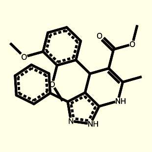 COC(=O)C1=C(C)Nc2[nH]nc(-c3ccccc3)c2C1c1cccc(OC)c1OC